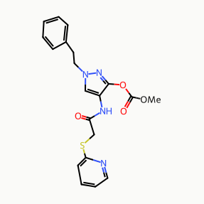 COC(=O)Oc1nn(CCc2ccccc2)cc1NC(=O)CSc1ccccn1